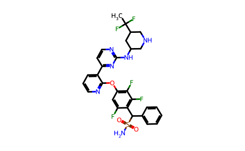 CC(F)(F)C1CNCC(Nc2nccc(-c3cccnc3Oc3cc(F)c(C(c4ccccc4)S(N)(=O)=O)c(F)c3F)n2)C1